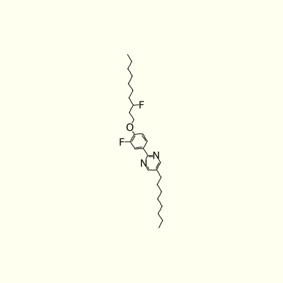 CCCCCCCCc1cnc(-c2ccc(OCCC(F)CCCCCCC)c(F)c2)nc1